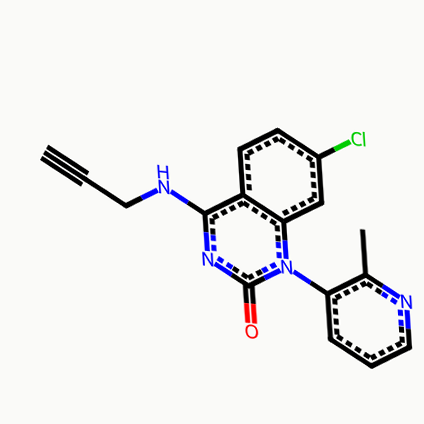 C#CCNc1nc(=O)n(-c2cccnc2C)c2cc(Cl)ccc12